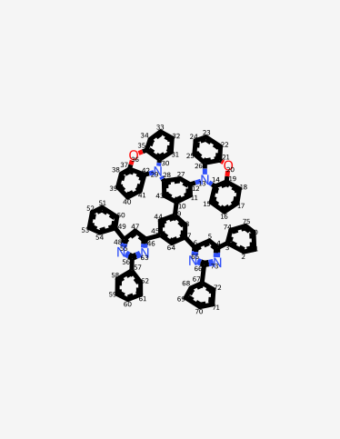 c1ccc(-c2cc(-c3cc(-c4cc(N5c6ccccc6Oc6ccccc65)cc(N5c6ccccc6Oc6ccccc65)c4)cc(-c4cc(-c5ccccc5)nc(-c5ccccc5)n4)c3)nc(-c3ccccc3)n2)cc1